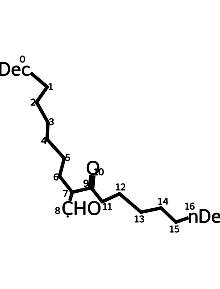 CCCCCCCCCCCCCCCCC([C]=O)C(=O)CCCCCCCCCCCCCCC